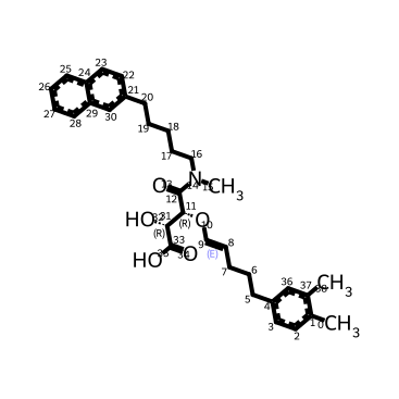 Cc1ccc(CCC/C=C/O[C@@H](C(=O)N(C)CCCCCc2ccc3ccccc3c2)[C@@H](O)C(=O)O)cc1C